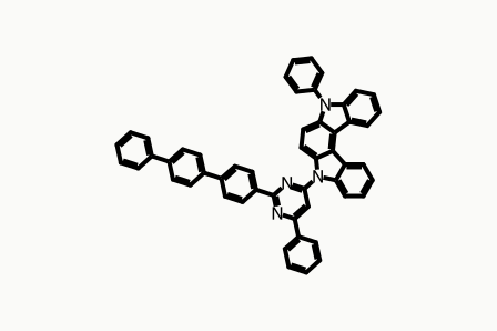 c1ccc(-c2ccc(-c3ccc(-c4nc(-c5ccccc5)cc(-n5c6ccccc6c6c7c8ccccc8n(-c8ccccc8)c7ccc65)n4)cc3)cc2)cc1